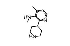 CNc1c(C)ccnc1C1CCNCC1